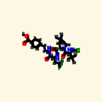 COC(=O)c1ccc(CCNC(=O)[C@H](CC(F)F)NC(=O)[C@@H]2C3C(CN2C(=O)[C@@H](NCl)C(C)(C)C)C3(C)C)cc1